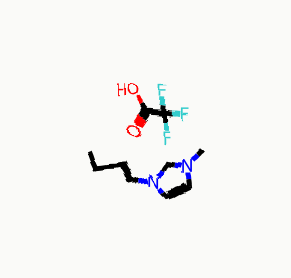 CCCCN1C=CN(C)C1.O=C(O)C(F)(F)F